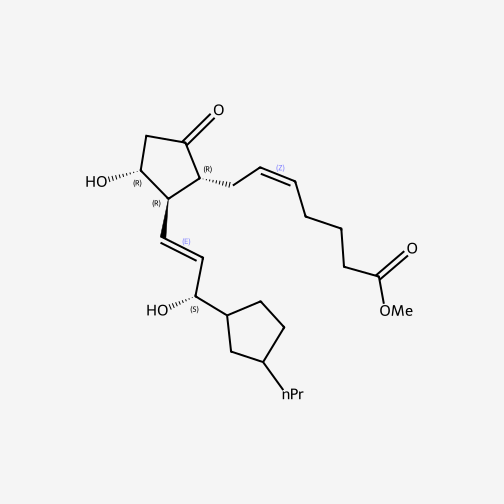 CCCC1CCC([C@H](O)/C=C/[C@H]2[C@H](O)CC(=O)[C@@H]2C/C=C\CCCC(=O)OC)C1